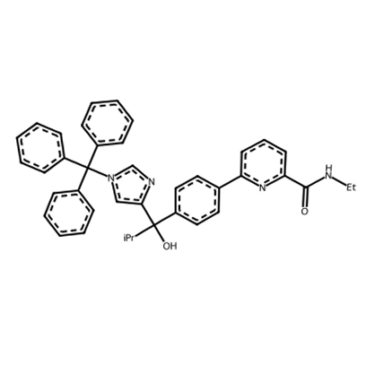 CCNC(=O)c1cccc(-c2ccc(C(O)(c3cn(C(c4ccccc4)(c4ccccc4)c4ccccc4)cn3)C(C)C)cc2)n1